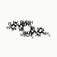 C=P1(S)OC[C@H]2O[C@@H](n3cnc4c(=O)[nH]cnc43)[C@H](O)[C@@H]2OP(=C)(S)OC[C@@H]2O[C@H](n3cnc4c(N)ncnc43)[C@H](F)[C@H]2O1